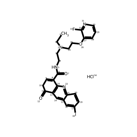 CCN(CCNC(=O)C1=CCC(=O)c2cc3cc(I)ccc3nc21)CCOc1cccnc1F.Cl